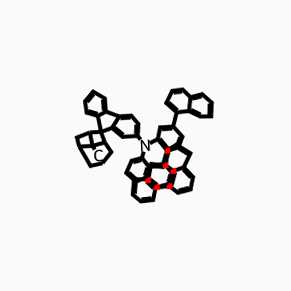 c1ccc(-c2ccc(-c3cccc4ccccc34)cc2N(c2ccc3c(c2)C2(c4ccccc4-3)C3CC4CC5CC2C53C4)c2ccccc2-c2cccc3cccc(-c4ccccc4)c23)cc1